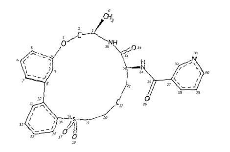 C[C@@H]1COc2cccc(c2)-c2ccccc2S(=O)(=O)CCCC[C@H](NC(=O)c2cccnc2)C(=O)N1